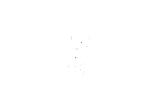 CCC(C)(Cl)C(=O)OC(=O)C(C)(Cl)CC